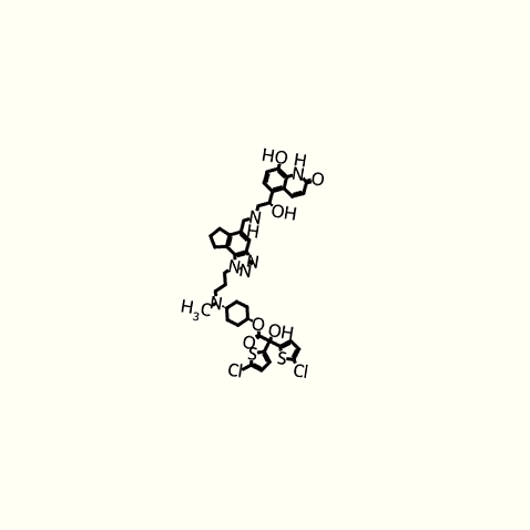 CN(CCCn1nnc2cc(CNC[C@H](O)c3ccc(O)c4[nH]c(=O)ccc34)c3c(c21)CCC3)[C@H]1CC[C@H](OC(=O)C(O)(c2ccc(Cl)s2)c2ccc(Cl)s2)CC1